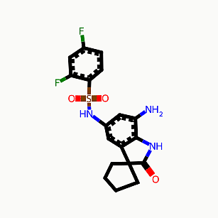 Nc1cc(NS(=O)(=O)c2ccc(F)cc2F)cc2c1NC(=O)C21CCCC1